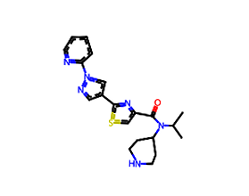 CC(C)N(C(=O)c1csc(-c2cnn(-c3ccccn3)c2)n1)C1CCNCC1